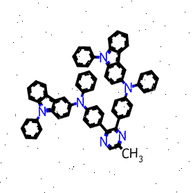 Cc1cnc(-c2ccc(N(c3ccccc3)c3ccc4c(c3)c3ccccc3n4-c3ccccc3)cc2)c(-c2ccc(N(c3ccccc3)c3ccc4c(c3)c3ccccc3n4-c3ccccc3)cc2)n1